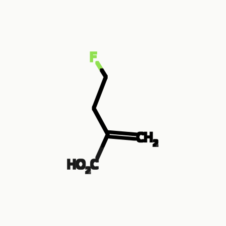 C=C(CCF)C(=O)O